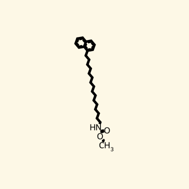 CCOC(=O)NCCCCCCCCCCCCCCCCc1cccc2ccccc12